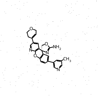 Cc1cncc(-c2ccc3c(c2)[C@@]2(COC(N)=N2)c2cc(C4=CCOCC4)cnc2O3)c1